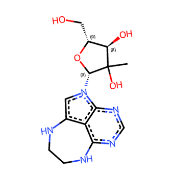 CC1(O)[C@H](O)[C@@H](CO)O[C@H]1n1cc2c3c(ncnc31)NCCN2